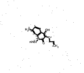 C=CCOc1c(O)c2ccc(N)cc2n(CCCCCC)c1=O